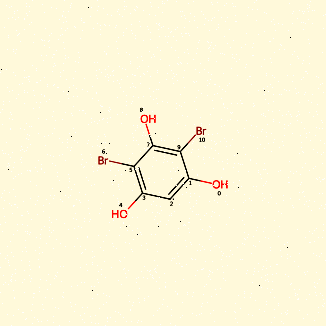 Oc1[c]c(O)c(Br)c(O)c1Br